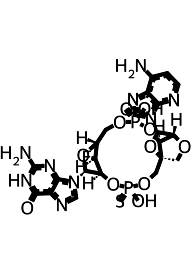 Nc1nc2c(ncn2[C@@H]2O[C@@H]3COP(=O)(O)O[C@H]4[C@H]5OC[C@]4(COP(O)(=S)O[C@@H]2[C@H]3F)O[C@H]5n2cnc3c(N)ccnc32)c(=O)[nH]1